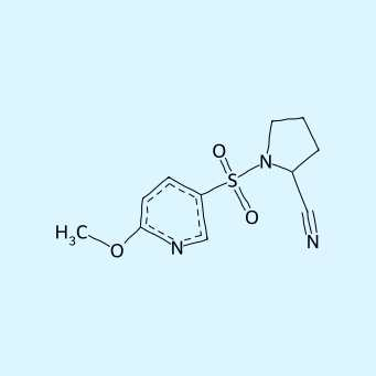 COc1ccc(S(=O)(=O)N2CCCC2C#N)cn1